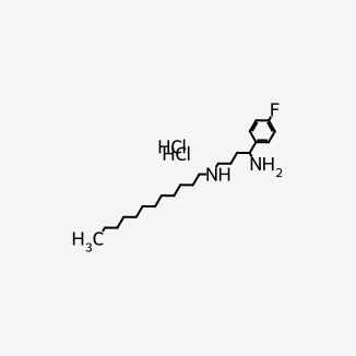 CCCCCCCCCCCCNCCCC(N)c1ccc(F)cc1.Cl.Cl